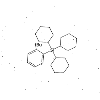 CC(C)(C)c1ccccc1[Si](C1CCCCC1)(C1CCCCC1)C1CCCCC1